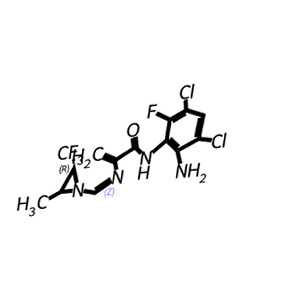 C=C(/N=C\N1C(C)[C@@H]1C(F)(F)F)C(=O)Nc1c(N)c(Cl)cc(Cl)c1F